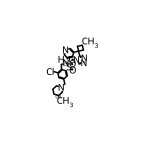 CC1CC(c2cncc(N3Cc4c(Cl)cc(CN5CCC[C@H](C)C5)cc4S3(=O)=O)c2)(c2nncn2C)C1